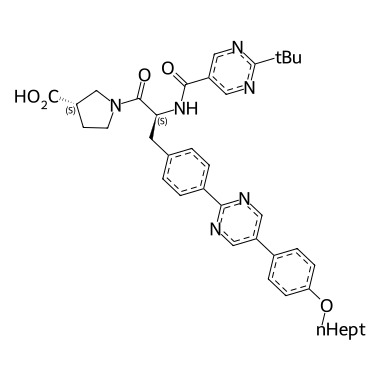 CCCCCCCOc1ccc(-c2cnc(-c3ccc(C[C@H](NC(=O)c4cnc(C(C)(C)C)nc4)C(=O)N4CC[C@H](C(=O)O)C4)cc3)nc2)cc1